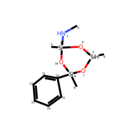 CN[Si]1(C)O[SiH](C)O[Si](C)(c2ccccc2)O1